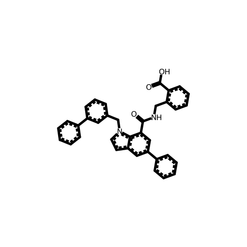 O=C(O)c1ccccc1CNC(=O)c1cc(-c2ccccc2)cc2ccn(Cc3cccc(-c4ccccc4)c3)c12